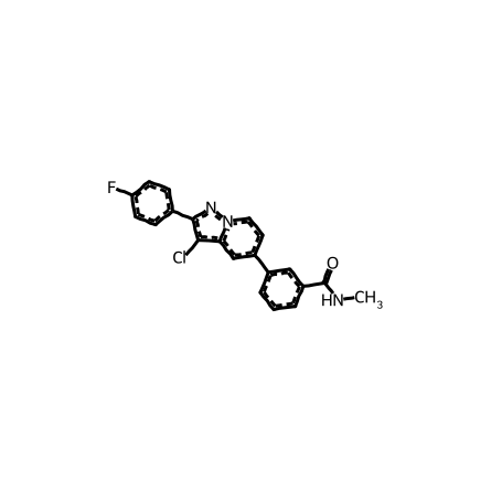 CNC(=O)c1cccc(-c2ccn3nc(-c4ccc(F)cc4)c(Cl)c3c2)c1